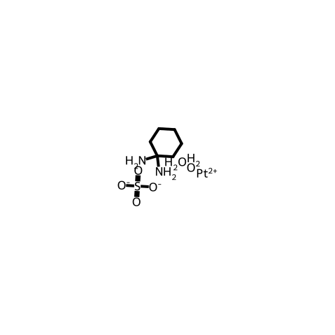 NC1(N)CCCCC1.O.O.O=S(=O)([O-])[O-].[Pt+2]